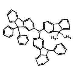 CC1(C)c2ccccc2-c2ccc(N(c3ccc4c(c3)C(c3ccccc3)(c3ccccc3)c3ccccc3-4)c3ccc4c5ccccc5n(-c5ccccc5)c4c3)cc21